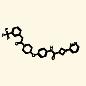 O=C(Nc1ccc(OC2CCN(C(=O)Cc3cccc(C(F)(F)F)c3)CC2)cc1)C1CN(c2cccnn2)C1